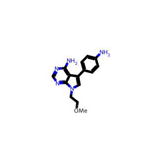 COCCn1cc(-c2ccc(N)cc2)c2c(N)ncnc21